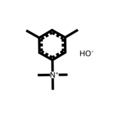 Cc1cc(C)cc([N+](C)(C)C)c1.[OH-]